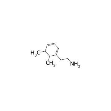 CC1C=CC=C(CCN)C1C